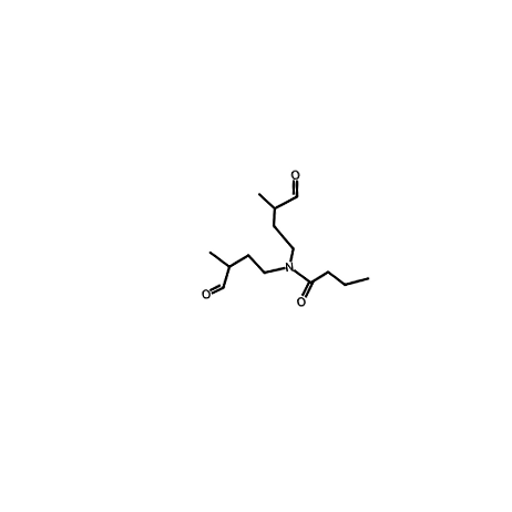 CCCC(=O)N(CCC(C)C=O)CCC(C)C=O